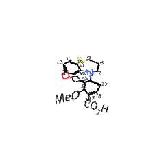 COC1C(=C=O)C(N2CCCSc3ccccc32)=CC=C1C(=O)O